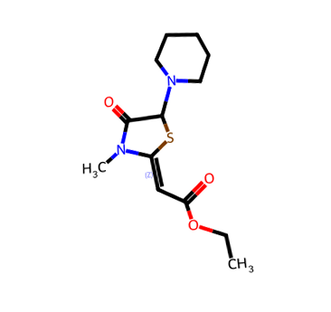 CCOC(=O)/C=C1\SC(N2CCCCC2)C(=O)N1C